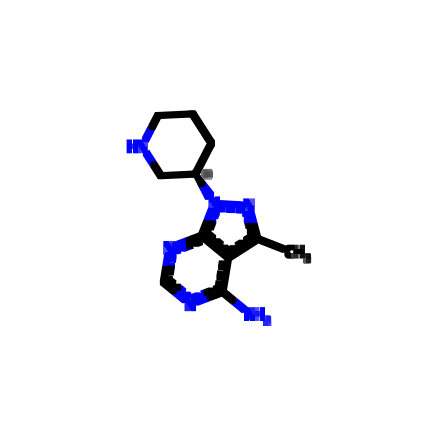 Cc1nn([C@@H]2CCCNC2)c2ncnc(N)c12